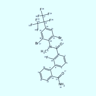 CN(C(=O)c1cccc(-c2ccccc2C(N)=O)c1F)c1c(Br)cc(C(F)(C(F)(F)F)C(F)(F)F)cc1Br